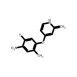 C=C1C=C(Oc2cc(F)c([N+](=O)[O-])cc2C)C=CN1